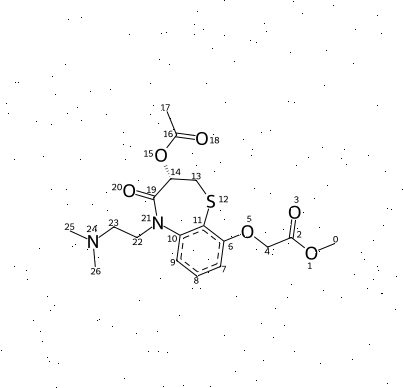 COC(=O)COc1cccc2c1SC[C@@H](OC(C)=O)C(=O)N2CCN(C)C